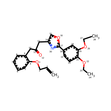 C=CCOc1ccccc1CC(=O)Cc1coc(-c2ccc(OCC)c(OCC)c2)n1